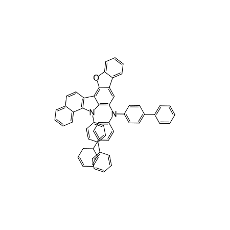 C1=CCC(c2ccc(N(c3ccc(-c4ccccc4)cc3)c3cc4c5ccccc5oc4c4c5ccc6ccccc6c5n(-c5ccc(-c6ccccc6)cc5)c34)cc2)C=C1